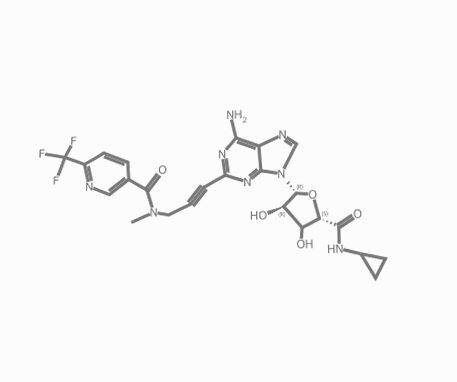 CN(CC#Cc1nc(N)c2ncn([C@@H]3O[C@H](C(=O)NC4CC4)C(O)[C@H]3O)c2n1)C(=O)c1ccc(C(F)(F)F)nc1